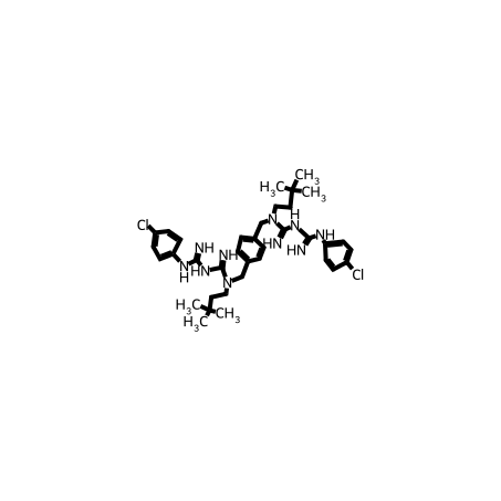 CC(C)(C)CCN(Cc1ccc(CN(CCC(C)(C)C)C(=N)NC(=N)Nc2ccc(Cl)cc2)cc1)C(=N)NC(=N)Nc1ccc(Cl)cc1